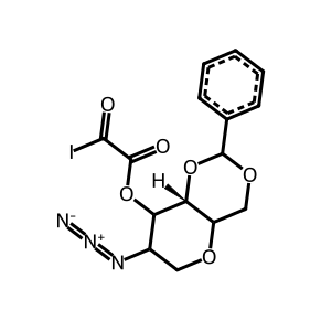 [N-]=[N+]=NC1COC2COC(c3ccccc3)O[C@H]2C1OC(=O)C(=O)I